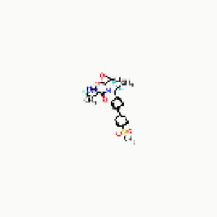 CC(C)(F)C[C@H](N)C(=O)N([C@@H]1C(=O)OCC1C(F)(F)F)[C@@H](c1ccc(-c2ccc(S(C)(=O)=O)cc2)cc1)C(C)(F)F